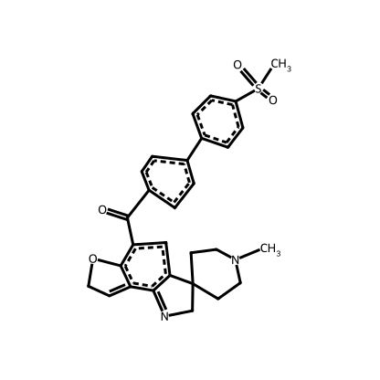 CN1CCC2(CC1)CN=c1c2cc(C(=O)c2ccc(-c3ccc(S(C)(=O)=O)cc3)cc2)c2c1=CCO2